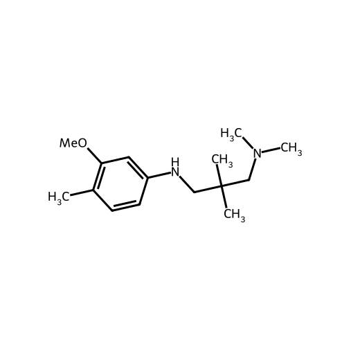 COc1cc(NCC(C)(C)CN(C)C)ccc1C